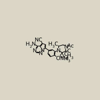 COc1ccc(-c2cc(C#N)c3c(N)ncnn23)cc1N1C(=O)C(C)(C)N(C(C)=O)C[C@@H]1C